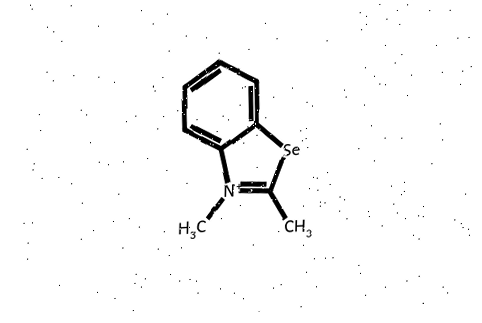 Cc1[se]c2ccccc2[n+]1C